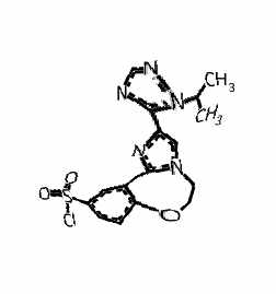 CC(C)n1ncnc1-c1cn2c(n1)-c1cc(S(=O)(=O)Cl)ccc1OCC2